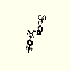 COC(=O)COc1ccc2ccn(Cc3sc(-c4ccc(C(F)(F)F)cc4)nc3C)c2c1